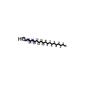 CCCCCCCCCCCCCC/C=C/C=C/CO